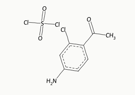 CC(=O)c1ccc(N)cc1Cl.O=S(=O)(Cl)Cl